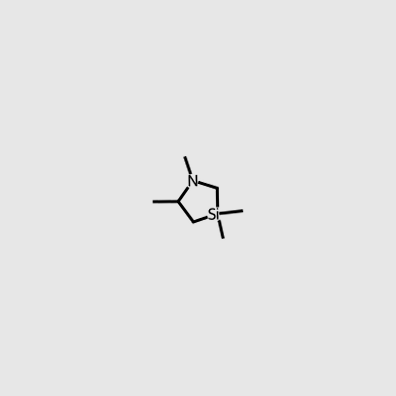 CC1C[Si](C)(C)CN1C